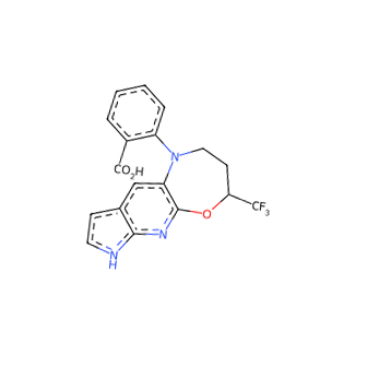 O=C(O)c1ccccc1N1CCC(C(F)(F)F)Oc2nc3[nH]ccc3cc21